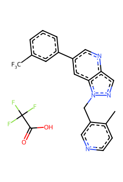 Cc1ccncc1Cn1ncc2ncc(-c3cccc(C(F)(F)F)c3)cc21.O=C(O)C(F)(F)F